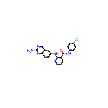 Nc1ncc2cc(Nc3ncccc3C(=O)Nc3ccc(Cl)cc3)ccc2n1